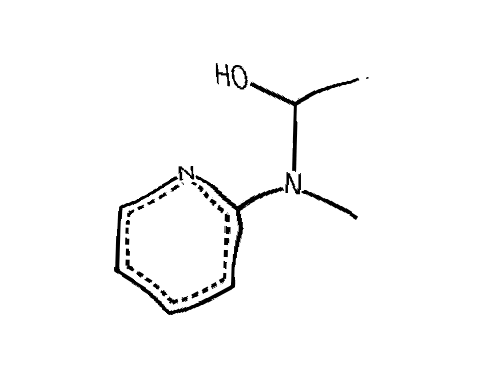 [CH2]C(O)N(C)c1ccccn1